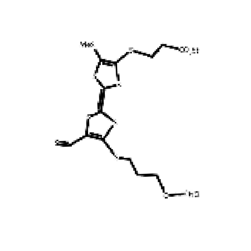 CCOC(=O)CCSC1=C(SC)S/C(=C2\SC(C=S)=C(SCCCOC=O)S2)S1